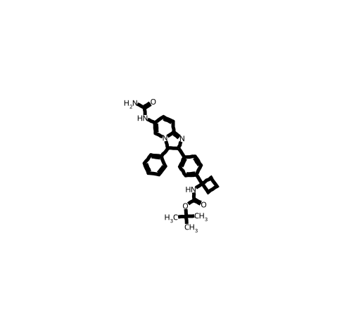 CC(C)(C)OC(=O)NC1(c2ccc(C3N=C4C=CC(NC(N)=O)=CN4C3c3ccccc3)cc2)CCC1